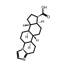 O=C(O)[C@@H]1CC[C@H]2[C@@H]3CCC4[C@H](CCc5nccn54)[C@H]3CC[C@@H]21